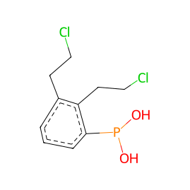 OP(O)c1cccc(CCCl)c1CCCl